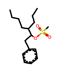 CCCCC(CCC)C(Cc1ccccc1)OS(C)(=O)=O